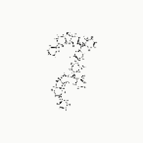 Cc1cc(N(c2ccc3sc4ccc(-c5ccccc5)cc4c3c2)c2ccccc2C)ccc1-c1ccc(N(c2ccc3sc4ccc(-c5ccccc5)cc4c3c2)c2ccccc2C)cc1C